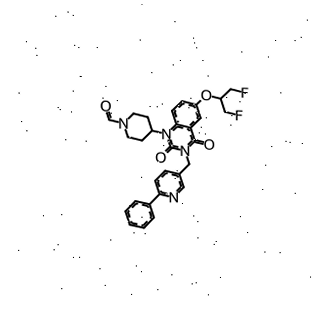 O=CN1CCC(n2c(=O)n(Cc3ccc(-c4ccccc4)nc3)c(=O)c3cc(OC(CF)CF)ccc32)CC1